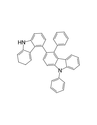 C1=c2[nH]c3cccc(-c4ccc5c(c4-c4ccccc4)c4ccccc4n5-c4ccccc4)c3c2=CCC1